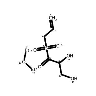 C=CCS(=O)(=O)C(=O)C(O)CO.CCOCC